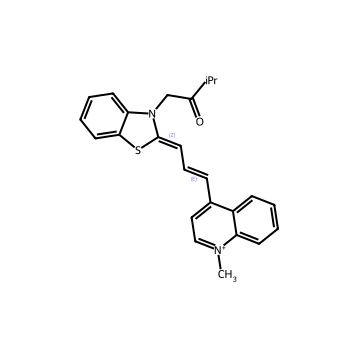 CC(C)C(=O)CN1/C(=C/C=C/c2cc[n+](C)c3ccccc23)Sc2ccccc21